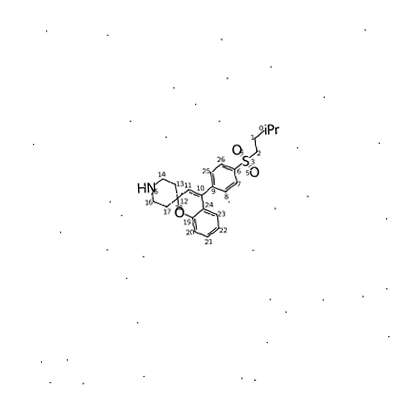 CC(C)CCS(=O)(=O)c1ccc(C2=CC3(CCNCC3)Oc3ccccc32)cc1